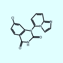 O=c1[nH]c(=O)n(-c2cccc3nccn23)c2cc(Cl)ccc12